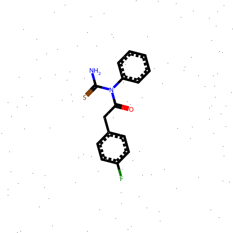 NC(=S)N(C(=O)Cc1ccc(F)cc1)c1ccccc1